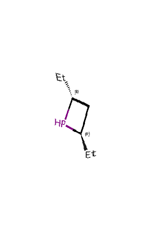 CC[C@@H]1C[C@@H](CC)P1